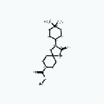 CC(C)(C)OC(=O)N1CCC2(CC1)CN(C1CCC(C)(C(=O)O)CC1)C(=O)N2